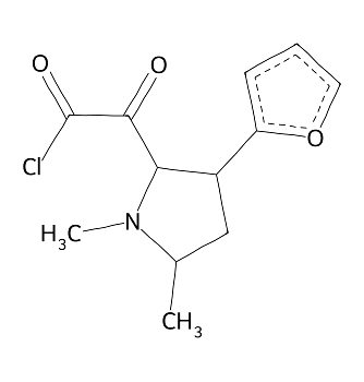 CC1CC(c2ccco2)C(C(=O)C(=O)Cl)N1C